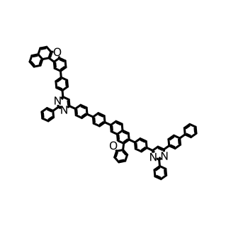 c1ccc(-c2ccc(-c3cc(-c4ccc(-c5cc6ccc(-c7ccc(-c8ccc(-c9cc(-c%10ccc(-c%11ccc%12oc%13ccc%14ccccc%14c%13c%12c%11)cc%10)nc(-c%10ccccc%10)n9)cc8)cc7)cc6c6oc7ccccc7c56)cc4)nc(-c4ccccc4)n3)cc2)cc1